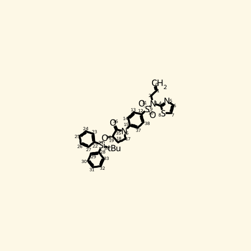 C=CCN(c1nccs1)S(=O)(=O)c1ccc(N2CC[C@@H](O[Si](c3ccccc3)(c3ccccc3)C(C)(C)C)C2=O)cc1